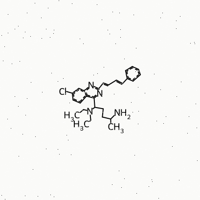 CCN(CC)C(CCC(C)N)c1nc(/C=C/C=C/c2ccccc2)nc2cc(Cl)ccc12